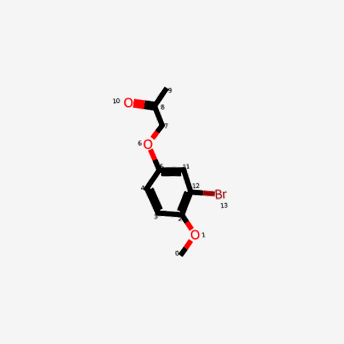 COc1ccc(OCC(C)=O)cc1Br